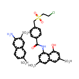 Nc1cc2ccc(S(=O)(=O)O)cc2cc1S(=O)(=O)O.O=C(Nc1cc(S(=O)(=O)O)cc2cc(S(=O)(=O)O)cc(O)c12)c1ccc(CS(=O)(=O)CCCl)cc1